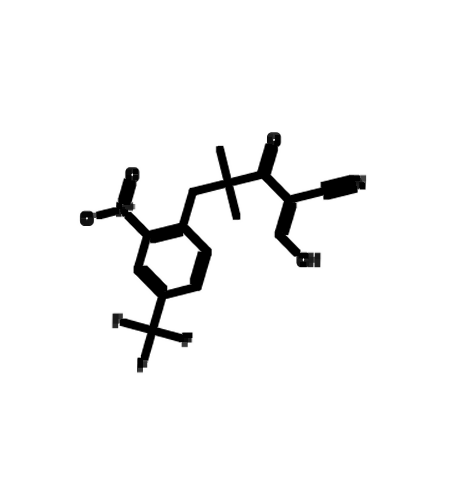 CC(C)(Cc1ccc(C(F)(F)F)cc1[N+](=O)[O-])C(=O)C(C#N)=CO